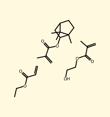 C=C(C)C(=O)OC1CC2CCC1(C)C2(C)C.C=C(C)C(=O)OCCO.C=CC(=O)OCC